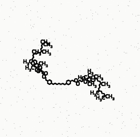 Cc1c(C)c2c(c(C)c1OC(=O)CCC(=O)OCCC1CCC(CCCCCCCC3CCC(CCOC(=O)CCC(=O)Oc4c(C)c(C)c5c(c4C)CCC(C)(CCCC(C)CCCC(C)CCCC(C)C)O5)CC3)CC1)CCC(C)(CCCC(C)CCCC(C)CCCC(C)C)O2